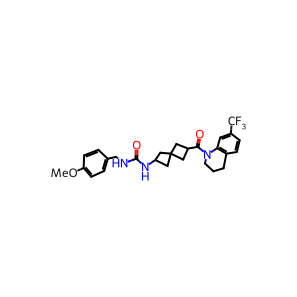 COc1ccc(CNC(=O)NC2CC3(C2)CC(C(=O)N2CCCc4ccc(C(F)(F)F)cc42)C3)cc1